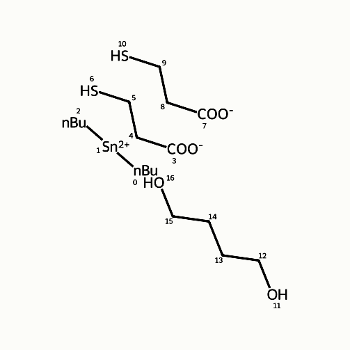 CCC[CH2][Sn+2][CH2]CCC.O=C([O-])CCS.O=C([O-])CCS.OCCCCO